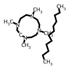 CCCCCCCCCCCC.CN1CCN(C)CCN(C)CCN(C)CC1